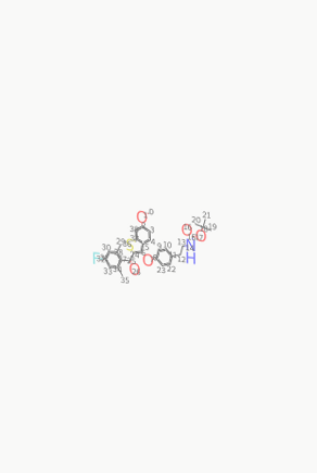 COc1ccc2c(Oc3ccc(CCNC(=O)OC(C)(C)C)cc3)c(C(=O)c3c(C)cc(F)cc3C)sc2c1